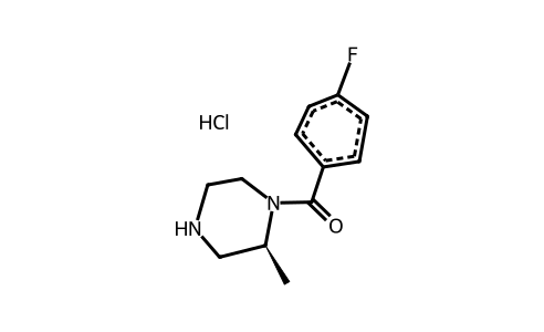 C[C@H]1CNCCN1C(=O)c1ccc(F)cc1.Cl